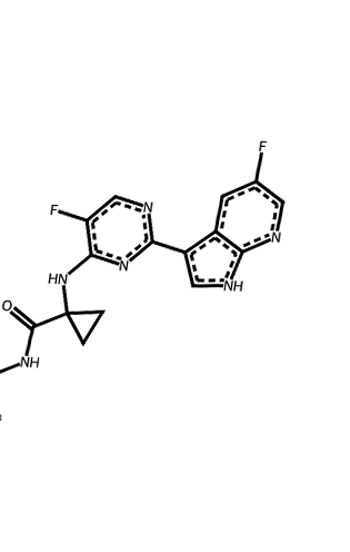 CCNC(=O)C1(Nc2nc(-c3c[nH]c4ncc(F)cc34)ncc2F)CC1